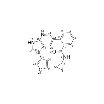 O=C(NC1CC1)c1ccccc1-c1cnc2[nH]cc(-c3ccoc3)c2c1